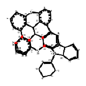 C1=CC2C3=CC(c4cccc5c4C(C4C6=CCCC=C6SC6C=CCCC64)c4c(cccc4-c4ccccc4)S5)CC=C3N(C3=CCCCC3)C2C=C1